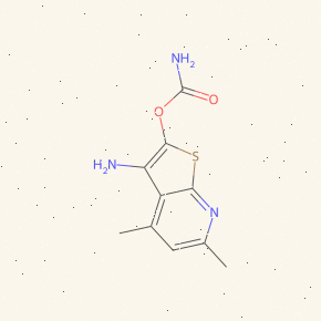 Cc1cc(C)c2c(N)c(OC(N)=O)sc2n1